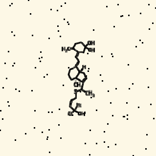 C=C1CCC(O)(O)CC1=CC=C1CCC[C@]2(C)C([C@@H](C)SC/C=C\C(O)(CC)CC)=CC[C@@H]12